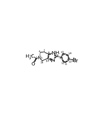 CC(=O)N1CCc2[nH]c(-c3ccc(Br)cc3)nc2C1